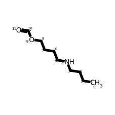 CCCCNCCCCO[C]=O